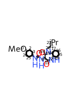 COc1ccc(NC(=O)NC2C(=O)Nc3ccccc3N(CCC(C)C)C2=O)cc1